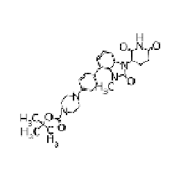 Cn1c(=O)n(C2CCC(=O)NC2=O)c2cccc(-c3ccc(N4CCN(C(=O)OC(C)(C)C)CC4)cc3)c21